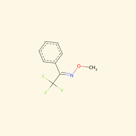 CO/N=C(\c1cc[c]cc1)C(F)(F)F